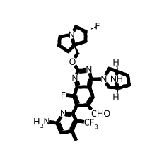 Cc1cc(N)nc(-c2c(C=O)cc3c(N4C[C@H]5CC[C@@H](C4)N5)nc(OC[C@@]45CCCN4C[C@H](F)C5)nc3c2F)c1C(F)(F)F